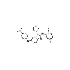 CN(C)c1ccc(Nc2ncc3nc(Nc4cc(F)ccc4F)n(C4CCCC4)c3n2)cc1